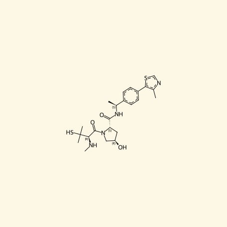 CN[C@H](C(=O)N1C[C@H](O)C[C@H]1C(=O)N[C@@H](C)c1ccc(-c2scnc2C)cc1)C(C)(C)S